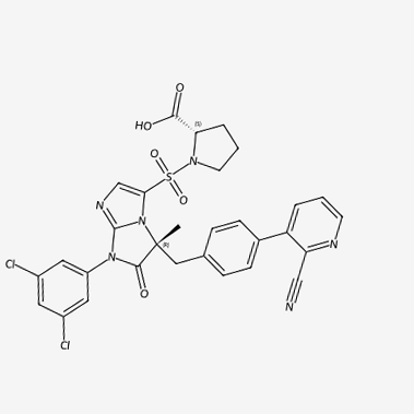 C[C@@]1(Cc2ccc(-c3cccnc3C#N)cc2)C(=O)N(c2cc(Cl)cc(Cl)c2)c2ncc(S(=O)(=O)N3CCC[C@H]3C(=O)O)n21